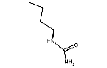 CCC[CH]NC(N)=O